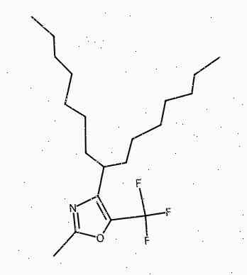 CCCCCCCC(CCCCCCC)c1nc(C)oc1C(F)(F)F